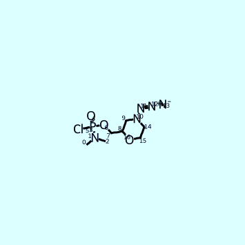 CN(C)P(=O)(Cl)OCC1CN(N=[N+]=[N-])CCO1